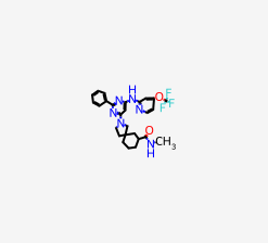 CNC(=O)C1CCCC2(CCN(c3cc(Nc4cc(OC(F)(F)F)ccn4)nc(-c4ccccc4)n3)C2)C1